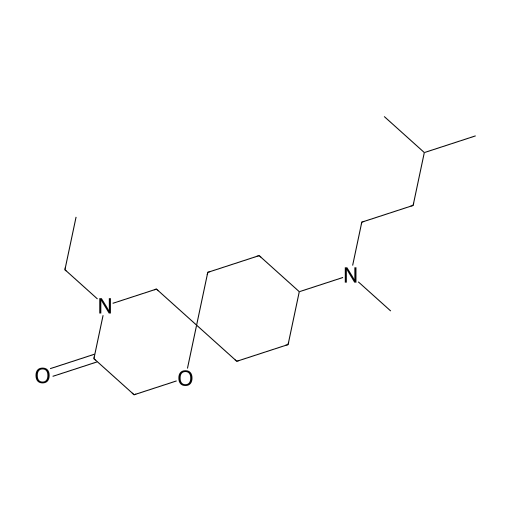 CCN1CC2(CCC(N(C)CCC(C)C)CC2)OCC1=O